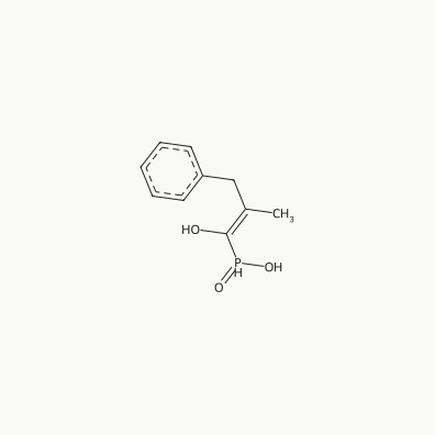 CC(Cc1ccccc1)=C(O)[PH](=O)O